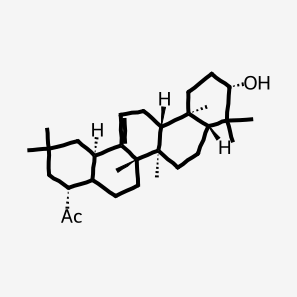 CC(=O)[C@@H]1CC(C)(C)C[C@H]2C3=CC[C@@H]4[C@@]5(C)CC[C@H](O)C(C)(C)[C@@H]5CC[C@@]4(C)[C@]3(C)CCC12